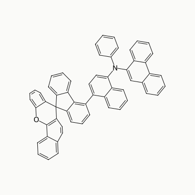 c1ccc(N(c2ccc(-c3cccc4c3-c3ccccc3C43c4ccccc4Oc4c3ccc3ccccc43)c3ccccc23)c2cc3ccccc3c3ccccc23)cc1